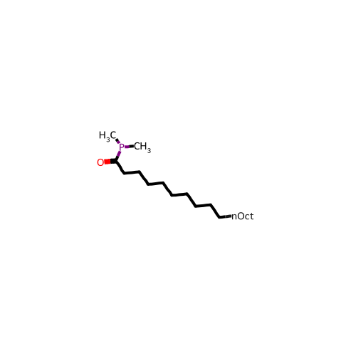 CCCCCCCCCCCCCCCCCC(=O)P(C)C